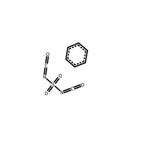 O=C=NS(=O)(=O)N=C=O.c1ccccc1